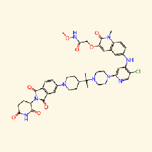 CONC(=O)COc1cc2cc(Nc3cc(N4CCN(C(C)(C)C5CCN(c6ccc7c(c6)C(=O)N(C6CCC(=O)NC6=O)C7=O)CC5)CC4)ncc3Cl)ccc2n(C)c1=O